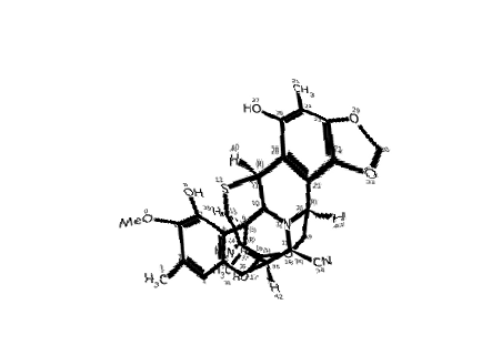 COc1c(C)cc2c(c1O)[C@H]1C3[C@@H]4SC[C@H](N)C(O)OC[C@@H](c5c6c(c(C)c(O)c54)OCO6)N3[C@@H](C#N)[C@H](C2)N1C